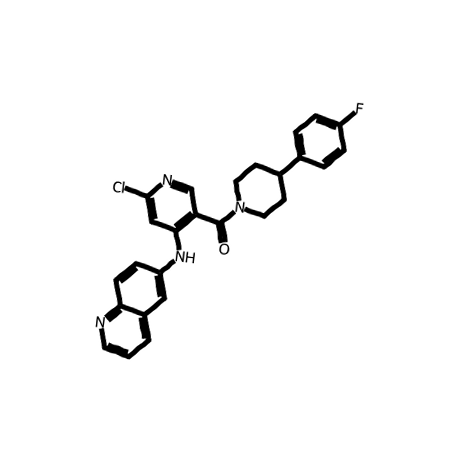 O=C(c1cnc(Cl)cc1Nc1ccc2ncccc2c1)N1CCC(c2ccc(F)cc2)CC1